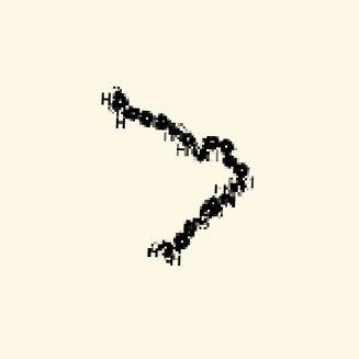 O=C1CCC(Nc2ccc(N3CCC(CC(=O)N4CCC5(CC4)CCN(c4cncc(Nc6ncc(Cl)c(-c7cccc(N8CCC(c9cccc(-c%10cccc(-c%11nc(Nc%12cncc(NC(=O)CCN%13CCN(C%14CCN(c%15ccc(NC%16CCC(=O)NC%16=O)cc%15)CC%14)CC%13)c%12)ncc%11Cl)c%10)c9)C8)c7)n6)c4)C5=O)CC3)cc2)C(=O)N1